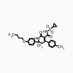 Cc1ccc(C2=C(C(=O)NS(=O)(=O)C3CC3)C(=O)N[C@@](c3ccc(OCCCC(F)(F)F)cc3)(C(F)(F)F)C2)cc1